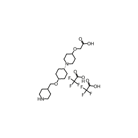 O=C(O)C(F)(F)F.O=C(O)C(F)(F)F.O=C(O)COC1CCN([C@H]2CC[C@H](OCC3CCNCC3)CC2)CC1